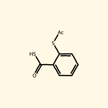 CC(=O)Sc1ccccc1C(=O)S